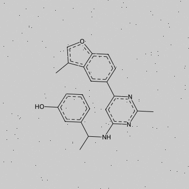 Cc1nc(NC(C)c2cccc(O)c2)cc(-c2ccc3occ(C)c3c2)n1